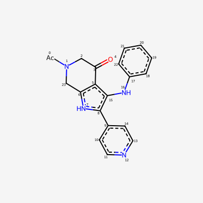 CC(=O)N1CC(=O)c2c([nH]c(-c3ccncc3)c2Nc2ccccc2)C1